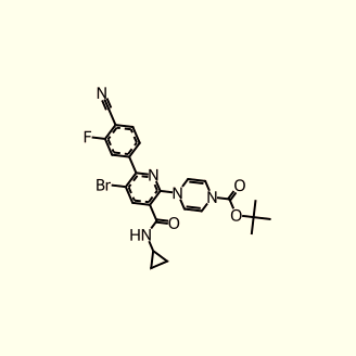 CC(C)(C)OC(=O)N1C=CN(c2nc(-c3ccc(C#N)c(F)c3)c(Br)cc2C(=O)NC2CC2)C=C1